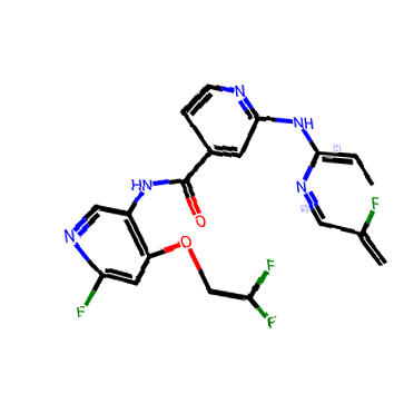 C=C(F)/C=N\C(=C/C)Nc1cc(C(=O)Nc2cnc(F)cc2OCC(F)F)ccn1